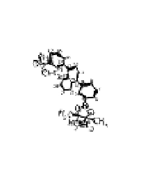 CC1(C)OB(c2cccc(-c3ccc(-c4cccc(P(C)(C)=O)c4)c4ccccc34)c2)OC1(C)C